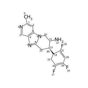 Cc1cc2c(cn1)nc1n2CC(N)[C@@H](C2CC(F)=C(F)C=C2F)C1